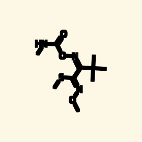 CNC(=O)ON=C(C(=NOC)SC)C(C)(C)C